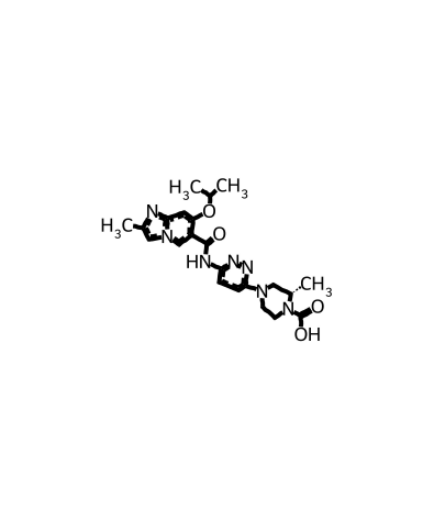 Cc1cn2cc(C(=O)Nc3ccc(N4CCN(C(=O)O)[C@@H](C)C4)nn3)c(OC(C)C)cc2n1